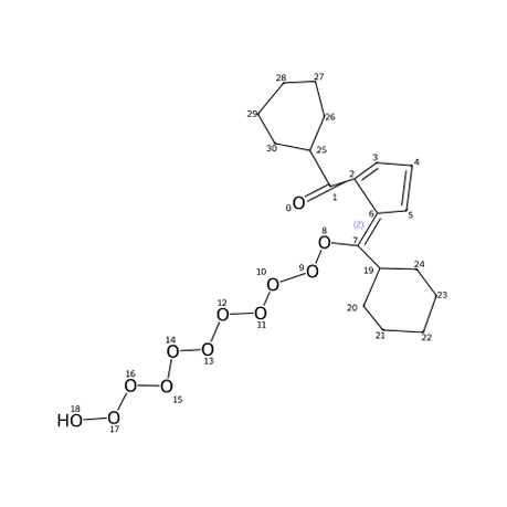 O=C(C1=CC=C/C1=C(/OOOOOOOOOOO)C1CCCCC1)C1CCCCC1